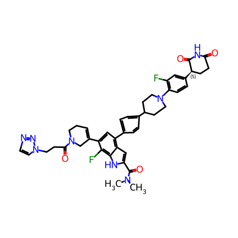 CN(C)C(=O)c1cc2c(-c3ccc(C4CCN(c5ccc([C@@H]6CCC(=O)NC6=O)cc5F)CC4)cc3)cc(C3=CCCN(C(=O)CCn4ccnn4)C3)c(F)c2[nH]1